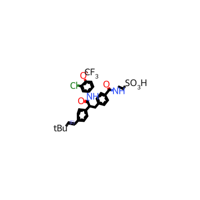 CC(C)(C)/C=C/c1ccc(C(Cc2ccc(C(=O)NCCS(=O)(=O)O)cc2)C(=O)Nc2ccc(OC(F)(F)F)c(Cl)c2)cc1